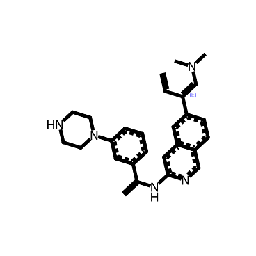 C=C/C(=C\N(C)C)c1ccc2cnc(NC(=C)c3cccc(N4CCNCC4)c3)cc2c1